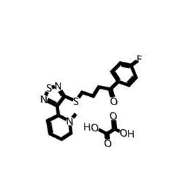 CN1CCC=CC1c1nsnc1SCCCC(=O)c1ccc(F)cc1.O=C(O)C(=O)O